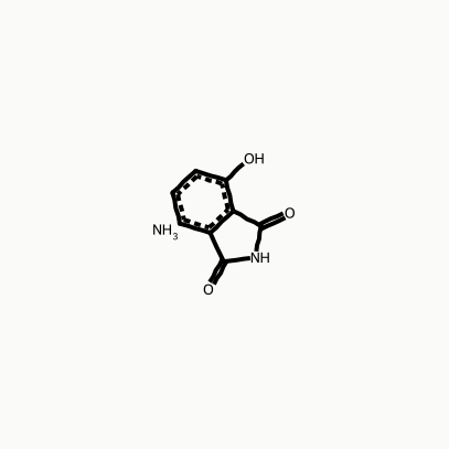 N.O=C1NC(=O)c2c(O)cccc21